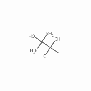 BC(B)(O)C(C)(C)I